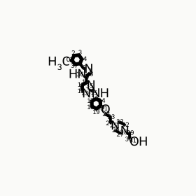 Cc1cccc(-c2ncc(-c3ccnc(Nc4cccc(OCCCN5CCN(CCO)CC5)c4)n3)[nH]2)c1